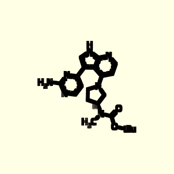 CN(C(=O)OC(C)(C)C)[C@H]1CCN(c2ccnc3[nH]cc(-c4ccnc(N)n4)c23)C1